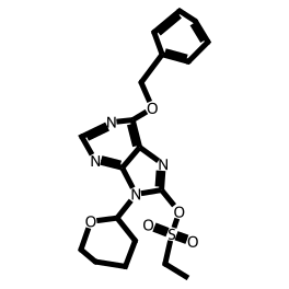 CCS(=O)(=O)Oc1nc2c(OCc3ccccc3)ncnc2n1C1CCCCO1